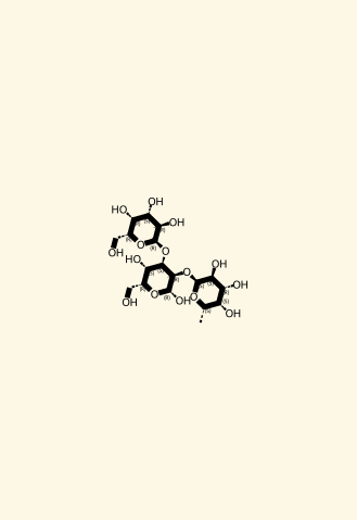 C[C@@H]1O[C@@H](O[C@@H]2[C@@H](O[C@H]3O[C@H](CO)[C@H](O)[C@H](O)[C@H]3O)[C@@H](O)[C@@H](CO)O[C@H]2O)[C@@H](O)[C@H](O)[C@@H]1O